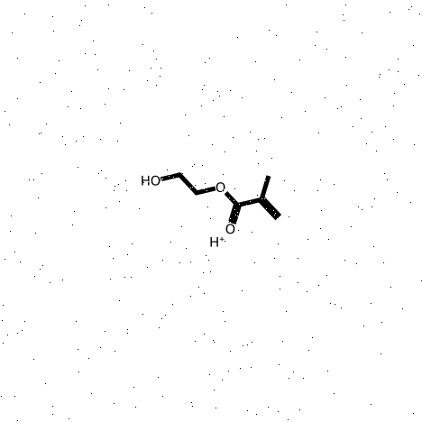 C=C(C)C(=O)OCCO.[H+]